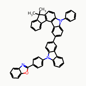 CC1(C)c2ccccc2-c2c1ccc1c2c2cc(-c3ccc4c(c3)c3ccccc3n4-c3ccc(-c4nc5ccccc5o4)cc3)ccc2n1-c1ccccc1